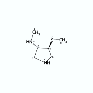 CN[C@H]1CNC[C@@H]1SC